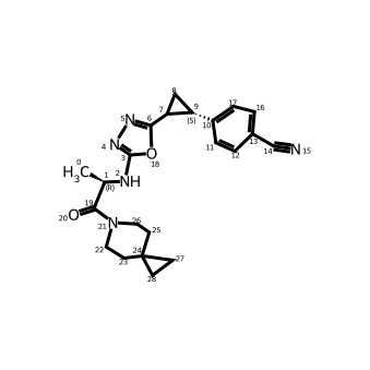 C[C@@H](Nc1nnc(C2C[C@@H]2c2ccc(C#N)cc2)o1)C(=O)N1CCC2(CC1)CC2